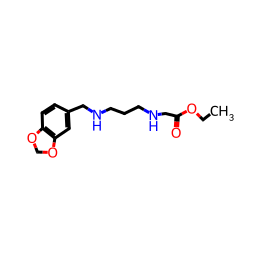 CCOC(=O)CNCCCNCc1ccc2c(c1)OCO2